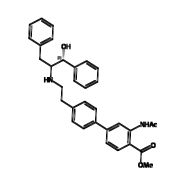 COC(=O)c1ccc(-c2ccc(CCNC(Cc3ccccc3)[C@H](O)c3ccccc3)cc2)cc1NC(C)=O